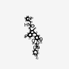 COc1cc(/C=C2/C(C)=C(CC(=O)NCc3cccn3C)c3cc(F)ccc32)cc(OC)c1OCC(=O)OC1CCN(C)CC1